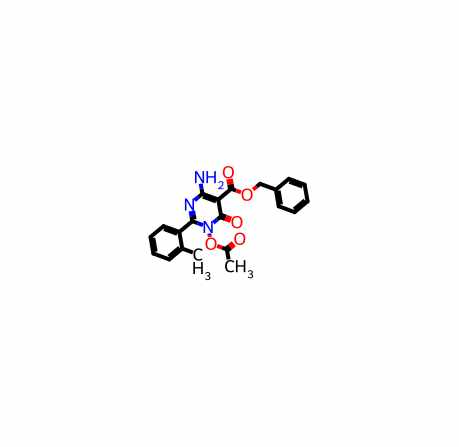 CC(=O)On1c(-c2ccccc2C)nc(N)c(C(=O)OCc2ccccc2)c1=O